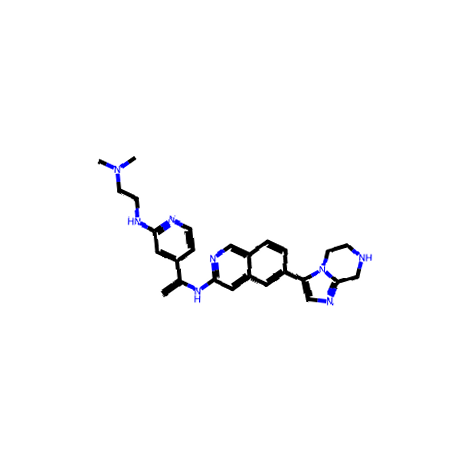 C=C(Nc1cc2cc(-c3cnc4n3CCNC4)ccc2cn1)c1ccnc(NCCN(C)C)c1